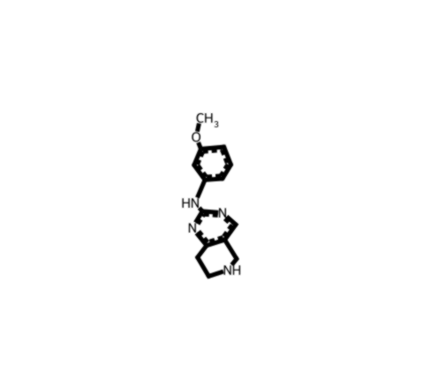 COc1cccc(Nc2ncc3c(n2)CCNC3)c1